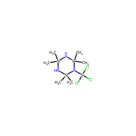 C[Si]1(C)N[Si](C)(C)N([Si](Cl)(Cl)Cl)[Si](C)(C)N1